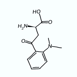 CN(C)c1ccccc1C(=O)C[C@@H](N)C(=O)O